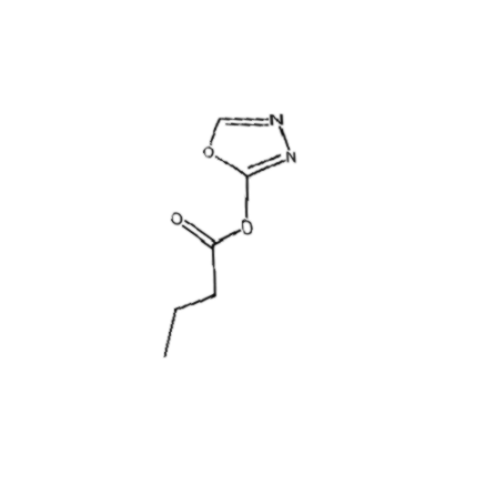 CCCC(=O)Oc1nnco1